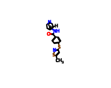 Cc1cc(Sc2ccc(C(=O)N[C@H]3CN4CCC3CC4)cc2)ns1